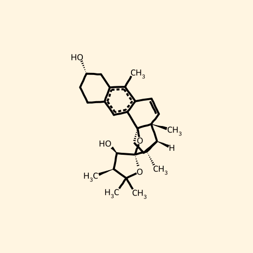 Cc1c2c(cc3c1C[C@@H](O)CC3)[C@]13CC[C@H]([C@H](C)[C@]4(OC(C)(C)[C@@H](C)[C@H]4O)O1)[C@@]3(C)C=C2